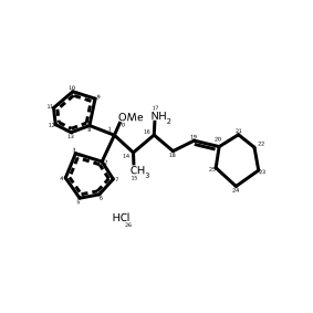 COC(c1ccccc1)(c1ccccc1)C(C)C(N)CC=C1CCCCC1.Cl